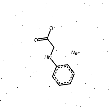 O=C([O-])CNc1ccccc1.[Na+]